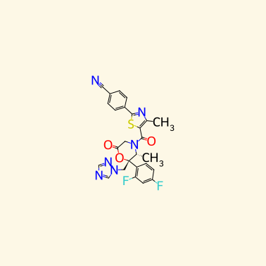 Cc1nc(-c2ccc(C#N)cc2)sc1C(=O)N1CC(=O)O[C@@](Cn2cncn2)(c2ccc(F)cc2F)[C@H]1C